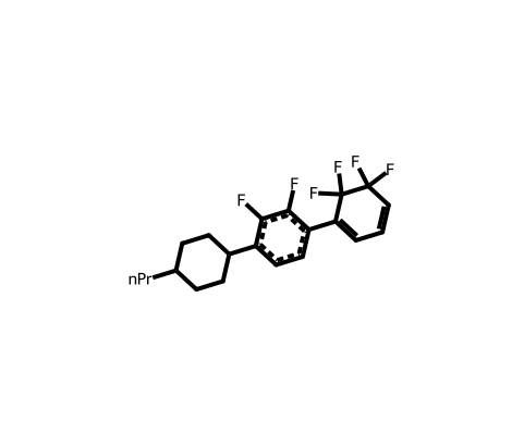 CCCC1CCC(c2ccc(C3=CC=CC(F)(F)C3(F)F)c(F)c2F)CC1